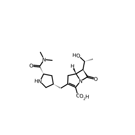 C[C@@H](O)[C@H]1C(=O)N2C(C(=O)O)=C(C[C@@H]3CN[C@H](C(=O)N(C)C)C3)C[C@H]12